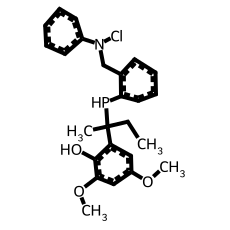 CCC(C)(Pc1ccccc1CN(Cl)c1ccccc1)c1cc(OC)cc(OC)c1O